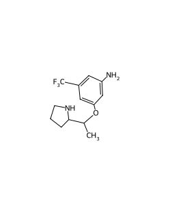 CC(Oc1cc(N)cc(C(F)(F)F)c1)C1CCCN1